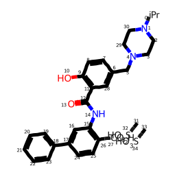 CC(C)N1CCN(Cc2ccc(O)c(C(=O)Nc3cc(-c4ccccc4)ccc3C(=O)O)c2)CC1.CS(=O)(=O)O.CS(=O)(=O)O